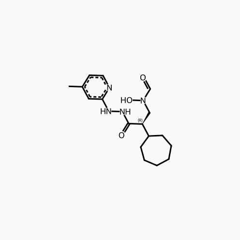 Cc1ccnc(NNC(=O)[C@@H](CN(O)C=O)C2CCCCCC2)c1